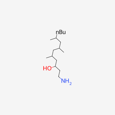 CCCCC(C)CC(C)CC(C)CC(O)CCN